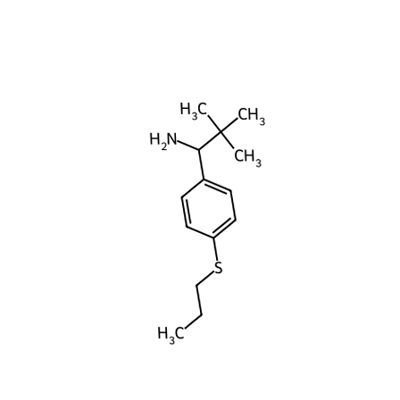 CCCSc1ccc(C(N)C(C)(C)C)cc1